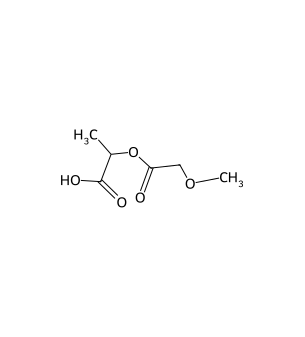 COCC(=O)OC(C)C(=O)O